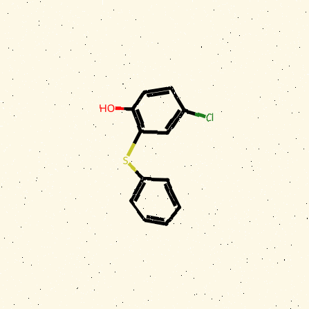 Oc1ccc(Cl)cc1Sc1ccccc1